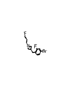 FCCCN1CC(Cc2ccc(Br)cc2F)C1